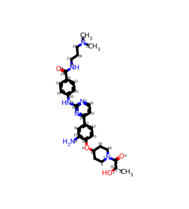 C[C@H](O)C(=O)N1CCC(Oc2ccc(-c3ccnc(Nc4ccc(C(=O)NCCCN(C)C)cc4)n3)cc2N)CC1